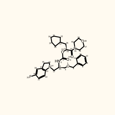 O=C(N[C@@H](COCc1ccccc1)CN1CCc2cc(F)ccc21)O[C@@H](CC1CCCCC1)C(=O)N1CCOCC1